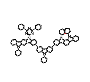 c1ccc(-c2nc(-c3ccccc3)nc(-n3c4ccc(-c5ccc6c(c5)c5cc(-c7ccc8c(c7)c7ccc9c%10ccccc%10n(-c%10ccccc%10)c9c7n8-c7ccccc7)ccc5n6-c5ccccc5)cc4c4cc5c(cc43)c3ccccc3n5-c3ccccc3)n2)cc1